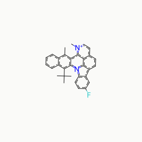 Cc1c2ccccc2c(C(C)(C)C)c2c1c1c3c(ccc4c5cc(F)ccc5n2c43)cc[n+]1C